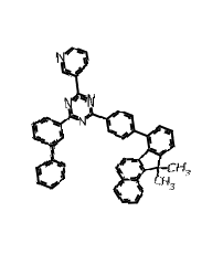 CC1(C)c2cccc(-c3ccc(-c4nc(-c5cccnc5)nc(-c5cccc(-c6ccccc6)c5)n4)cc3)c2-c2ccc3ccccc3c21